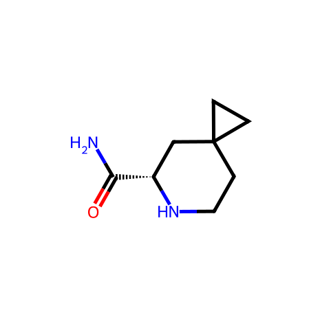 NC(=O)[C@@H]1CC2(CCN1)CC2